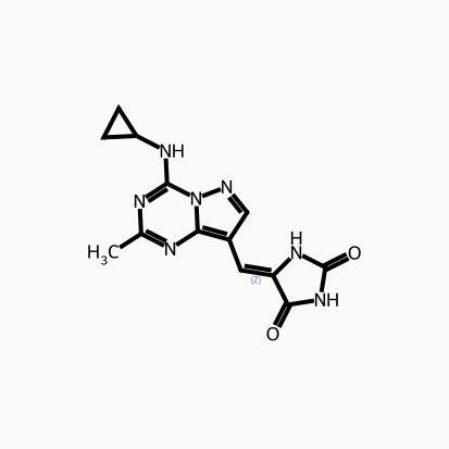 Cc1nc(NC2CC2)n2ncc(/C=C3\NC(=O)NC3=O)c2n1